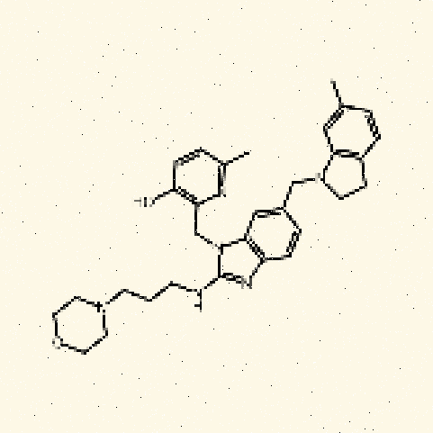 Cc1ccc2c(c1)N(Cc1ccc3nc(NCCCN4CCOCC4)n(Cc4nc(C)ccc4O)c3c1)CC2